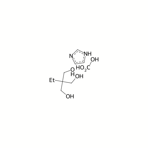 CCC(CO)(CO)CO.O=C(O)O.c1c[nH]cn1